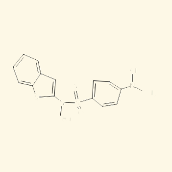 CCCCN(c1cc2ccccc2s1)S(=O)(=O)c1ccc(N(C)C)cc1